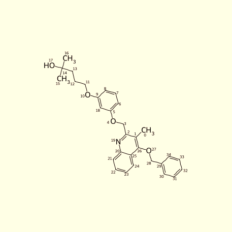 Cc1c(COc2cccc(OCCCC(C)(C)O)c2)nc2ccccc2c1OCc1ccccc1